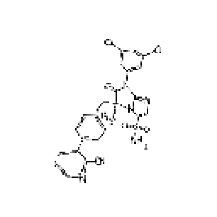 CC1(Cc2ccc(-c3cncnc3C#N)cc2)C(=O)N(c2cc(Cl)cc(Cl)c2)c2ncc(S(N)(=O)=O)n21